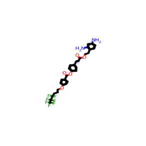 Nc1ccc(CCOC(=O)/C=C/c2ccc(OC(=O)c3ccc(OCCCC(F)(F)C(F)(F)C(F)(F)F)cc3)cc2)c(N)c1